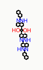 OC1=C(c2ccc3c4c(cccc24)N=C(c2ccc4ccccc4c2)N3)C(O)=C1C1C=CC2=C3C(=CC=CC31)NC(c1ccc3c4c(cccc14)N=C(c1ccc4ccccc4c1)N3)=N2